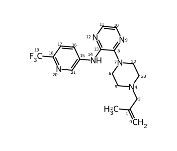 C=C(C)CN1CCN(c2nccnc2Nc2ccc(C(F)(F)F)nc2)CC1